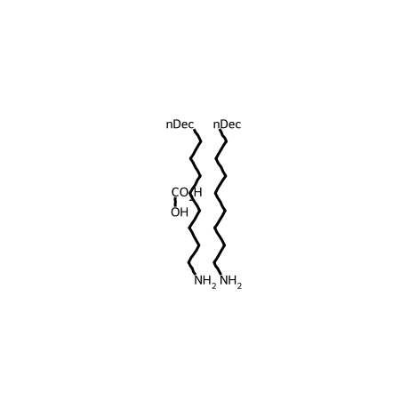 CCCCCCCCCCCCCCCCCCN.CCCCCCCCCCCCCCCCCCN.O=C(O)O